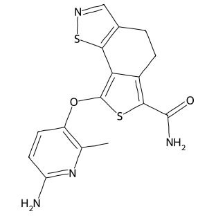 Cc1nc(N)ccc1Oc1sc(C(N)=O)c2c1-c1sncc1CC2